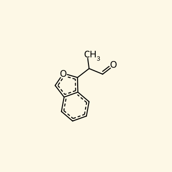 CC(C=O)c1occ2ccccc12